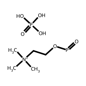 C[N+](C)(C)CCOP=O.O=P(O)(O)O